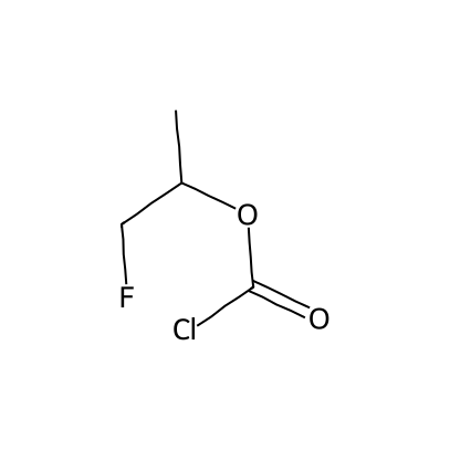 CC(CF)OC(=O)Cl